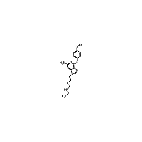 CCOc1ccc(Sc2nc(N)nc3c2ncn3CCOCPCC(F)(F)F)cc1